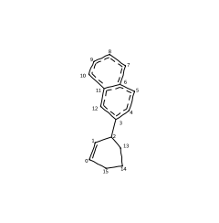 C1=CC(c2ccc3ccccc3c2)CCC1